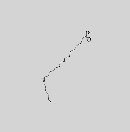 CCCCC/C=C\CCCCCCCCCCCCCCC(=O)OC